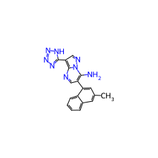 Cc1cc(-c2cnc3c(-c4nnn[nH]4)cnn3c2N)c2ccccc2c1